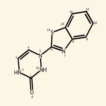 O=C1NC=CN(c2nc3ccccc3s2)N1